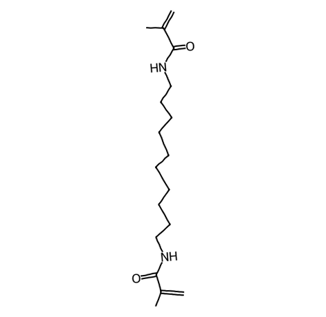 C=C(C)C(=O)NCCCCCCCCCCNC(=O)C(=C)C